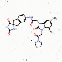 Cc1cc(C)c2c(c1)n(CC(=O)Nc1ccc3c(c1)CC1(C3)NC(=O)NC1=O)c(=O)n2CC(=O)N1CCCC1